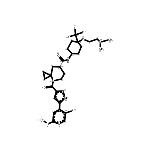 COc1cc(-c2cc(C(=O)N3CC[C@@H](C(=O)NC4CCC(OCCN(C)C)(C(F)(F)F)CC4)CC34CC4)n[nH]2)c(F)cn1